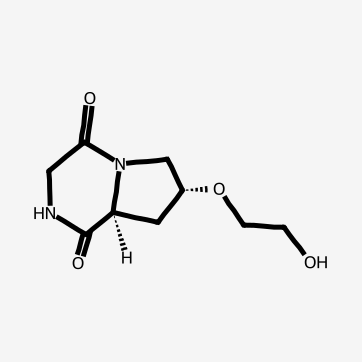 O=C1NCC(=O)N2C[C@H](OCCO)C[C@@H]12